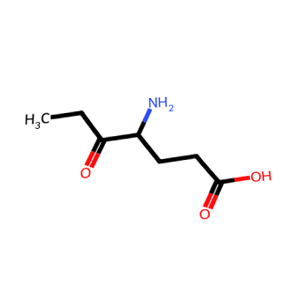 CCC(=O)C(N)CCC(=O)O